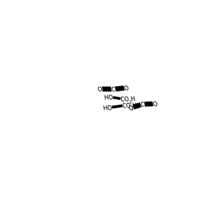 O=C(O)O.O=C(O)O.O=C=O.O=C=O